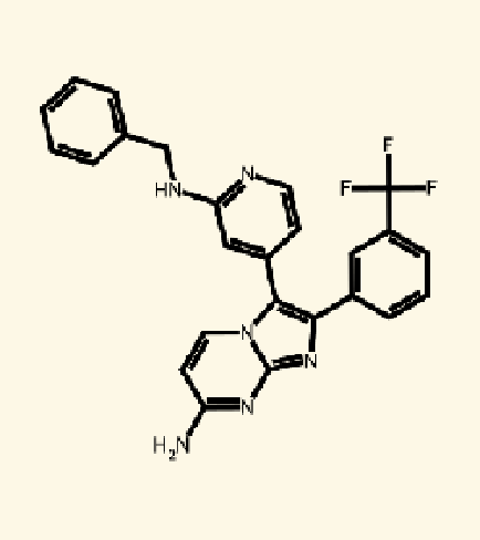 Nc1ccn2c(-c3ccnc(NCc4ccccc4)c3)c(-c3cccc(C(F)(F)F)c3)nc2n1